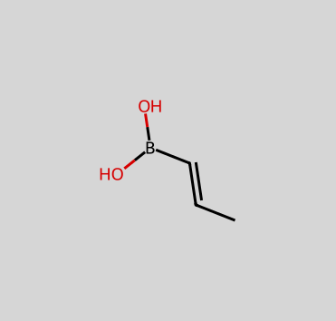 CC=CB(O)O